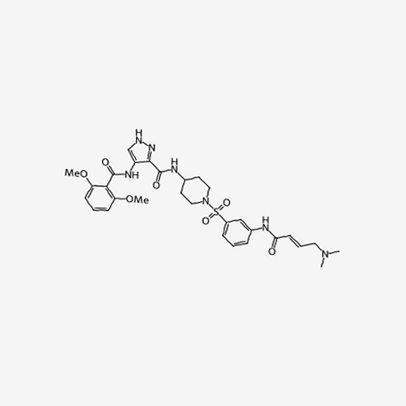 COc1cccc(OC)c1C(=O)Nc1c[nH]nc1C(=O)NC1CCN(S(=O)(=O)c2cccc(NC(=O)C=CCN(C)C)c2)CC1